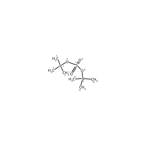 C[Si](C)(C)OS(=O)(=O)O[Si](C)(C)C